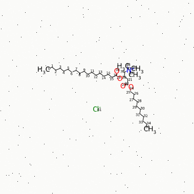 CCCCCCCCCCCCCCCCCC(=O)OC(CC(=O)OCCCCCCCCCCC)C[N+](C)(C)C.[Cl-]